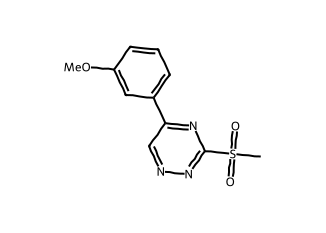 COc1cccc(-c2cnnc(S(C)(=O)=O)n2)c1